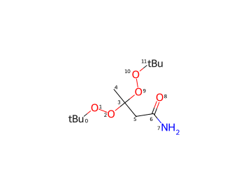 CC(C)(C)OOC(C)(CC(N)=O)OOC(C)(C)C